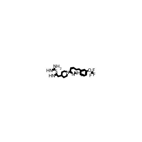 N=C(N)SC(=N)CC1CCN(C(/C=C\CCc2cccc(OC(F)(F)F)c2)=N/N)CC1